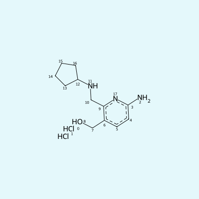 Cl.Cl.Nc1ccc(CO)c(CNC2CCCC2)n1